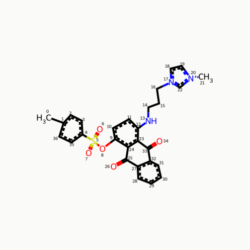 Cc1ccc(S(=O)(=O)Oc2ccc(NCCCn3cc[n+](C)c3)c3c2C(=O)c2ccccc2C3=O)cc1